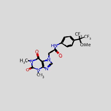 COC(c1ccc(NC(=O)Cn2cnc3c2c(=O)n(C)c(=O)n3C)cc1)(C(F)(F)F)C(F)(F)F